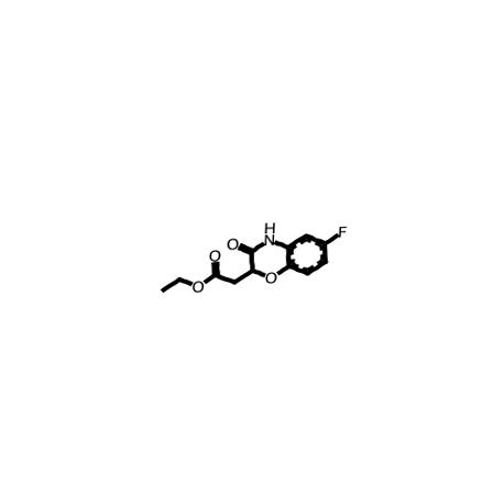 CCOC(=O)CC1Oc2ccc(F)cc2NC1=O